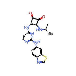 CC(Nc1c(Nc2ccnc(Nc3ccc4ncsc4c3)n2)c(=O)c1=O)C(C)(C)C